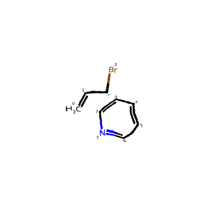 C=CCBr.c1ccncc1